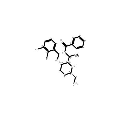 CC[C@@H]1OC[C@H](OCc2cccc(I)c2Br)[C@@H](C(C)OC(=O)c2ccccc2)O1